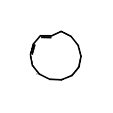 [CH]1C/C=C\C=C\CCCCCCCC1